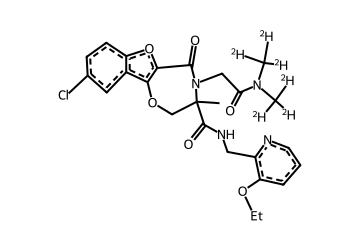 [2H]C([2H])([2H])N(C(=O)CN1C(=O)c2oc3ccc(Cl)cc3c2OCC1(C)C(=O)NCc1ncccc1OCC)C([2H])([2H])[2H]